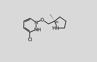 C[C@]1(CON2C=CC=C(Cl)N2)CCCN1